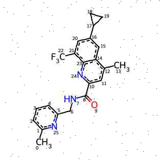 Cc1cccc(CNC(=O)c2cc(C)c3cc(C4CC4)cc(C(F)(F)F)c3n2)n1